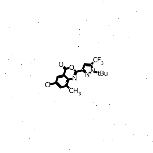 Cc1cc(Cl)cc2c(=O)oc(-c3cc(C(F)(F)F)n(C(C)(C)C)n3)nc12